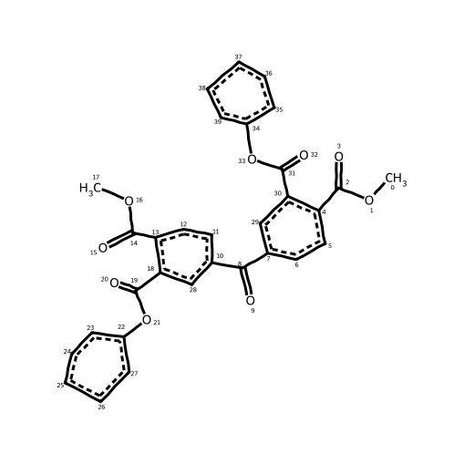 COC(=O)c1ccc(C(=O)c2ccc(C(=O)OC)c(C(=O)Oc3ccccc3)c2)cc1C(=O)Oc1ccccc1